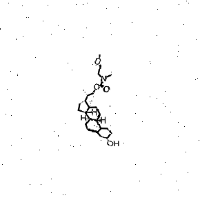 COCCN(C)C(=O)OC[C@@H](C)[C@H]1CC[C@H]2[C@@H]3CC=C4C[C@@H](O)CC[C@]4(C)[C@H]3CC[C@]12C